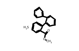 COC(=O)c1ccccc1-c1ccccc1-c1ccccc1.S